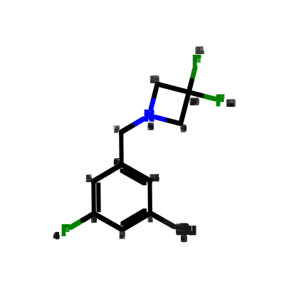 CC(C)(C)c1cc(F)cc(CN2CC(F)(F)C2)c1